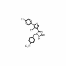 CCc1ccc(-n2ncc(C3=NNNN3Cc3ccc([N+](=O)[O-])cc3)c2Cl)cc1